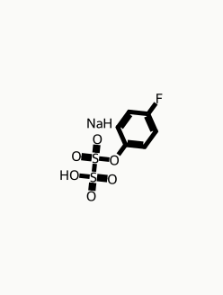 O=S(=O)(O)S(=O)(=O)Oc1ccc(F)cc1.[NaH]